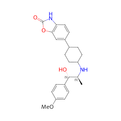 COc1ccc([C@H](O)[C@H](C)NC2CCC(c3ccc4[nH]c(=O)oc4c3)CC2)cc1